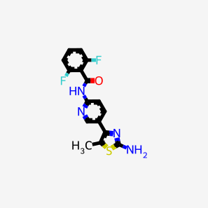 Cc1sc(N)nc1-c1ccc(NC(=O)c2c(F)cccc2F)nc1